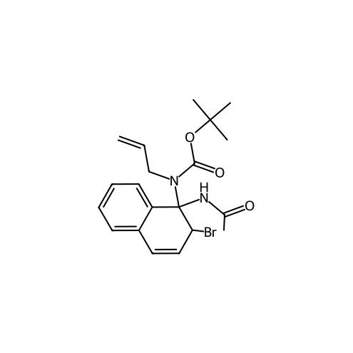 C=CCN(C(=O)OC(C)(C)C)C1(NC(C)=O)c2ccccc2C=CC1Br